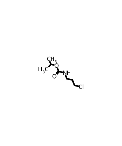 CC(C)OC(=O)NCCCCl